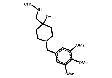 COc1cc(CN2CCC(O)(CNC=O)CC2)cc(OC)c1OC